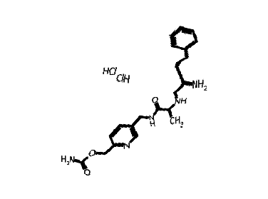 CC(NCC(N)CCc1ccccc1)C(=O)NCc1ccc(COC(N)=O)nc1.Cl.Cl